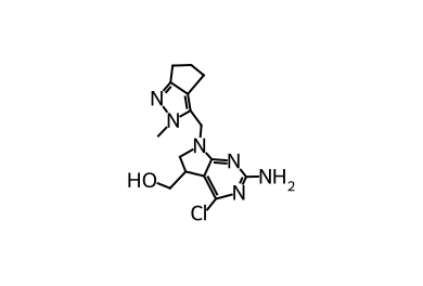 Cn1nc2c(c1CN1CC(CO)c3c(Cl)nc(N)nc31)CCC2